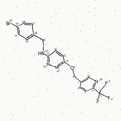 FC(F)(F)c1ccc(COc2ccc(NCc3ccc(Br)cc3)nn2)cn1